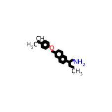 CCCC(CN)c1ccc2c(c1)CCC(COc1ccc(C(C)C)cc1)C2